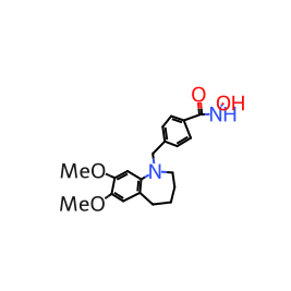 COc1cc2c(cc1OC)N(Cc1ccc(C(=O)NO)cc1)CCCC2